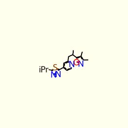 Cc1noc(C(C)Cc2cc(-c3nnc(C(C)C)s3)ccn2)c1C